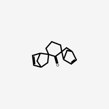 O=C1C2(CCCC13CC1C=CC3C1)CC1C=CC2C1